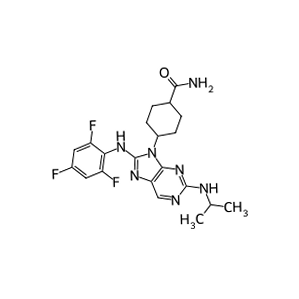 CC(C)Nc1ncc2nc(Nc3c(F)cc(F)cc3F)n(C3CCC(C(N)=O)CC3)c2n1